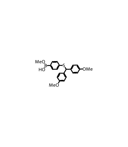 COB(O)c1ccc(SC(c2ccc(OC)cc2)c2ccc(OC)cc2)cc1